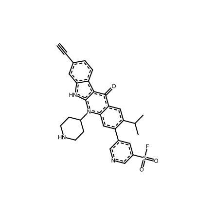 C#Cc1ccc2c(c1)[nH]c1c2c(=O)c2cc(C(C)C)c(-c3cncc(S(=O)(=O)F)c3)cc2n1C1CCNCC1